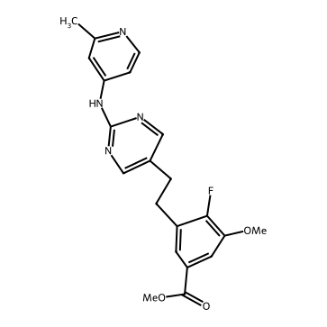 COC(=O)c1cc(CCc2cnc(Nc3ccnc(C)c3)nc2)c(F)c(OC)c1